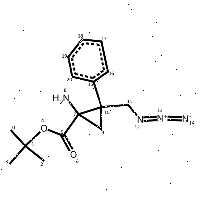 CC(C)(C)OC(=O)C1(N)CC1(CN=[N+]=[N-])c1ccccc1